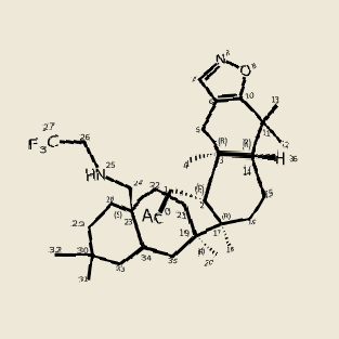 CC(=O)C[C@@H]1[C@@]2(C)Cc3cnoc3C(C)(C)[C@@H]2CC[C@@]1(C)[C@]1(C)CC[C@@]2(CNCC(F)(F)F)CCC(C)(C)CC2C1